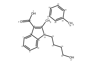 Cc1c(C(=O)O)c2ccccc2n1CCCCO.Cc1ccccc1